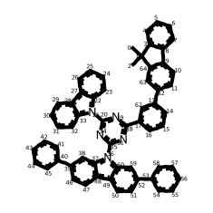 CC1(C)c2ccccc2-c2ccc(-c3cccc(-c4nc(-n5c6ccccc6c6ccccc65)nc(-n5c6cc(-c7ccccc7)ccc6c6ccc(-c7ccccc7)cc65)n4)c3)cc21